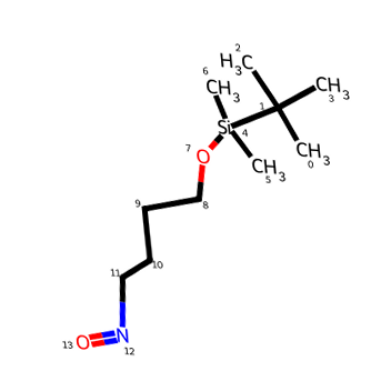 CC(C)(C)[Si](C)(C)OCCCCN=O